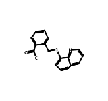 O=C(Cl)c1ccccc1CSc1cccc2cccnc12